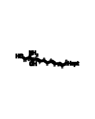 CCCCCCCC=CC=CCCC=CC(O)C(N)CO